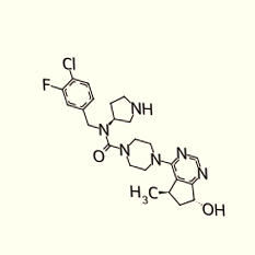 C[C@@H]1C[C@@H](O)c2ncnc(N3CCN(C(=O)N(Cc4ccc(Cl)c(F)c4)[C@H]4CCNC4)CC3)c21